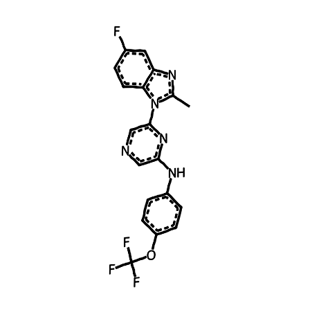 Cc1nc2cc(F)ccc2n1-c1cncc(Nc2ccc(OC(F)(F)F)cc2)n1